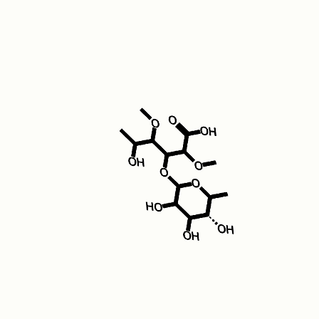 COC(C(=O)O)C(OC1OC(C)[C@H](O)C(O)C1O)C(OC)C(C)O